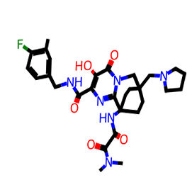 Cc1cc(CNC(=O)c2nc3n(c(=O)c2O)CC2(CN4CCCC4)CCC3(NC(=O)C(=O)N(C)C)CC2)ccc1F